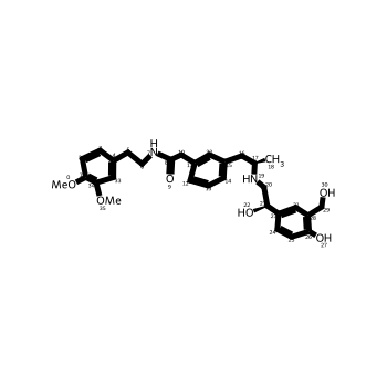 COc1ccc(CCNC(=O)Cc2cccc(C[C@@H](C)NC[C@H](O)c3ccc(O)c(CO)c3)c2)cc1OC